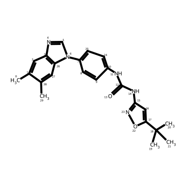 Cc1cc2ncn(-c3ccc(NC(=O)Nc4cc(C(C)(C)C)on4)cc3)c2cc1C